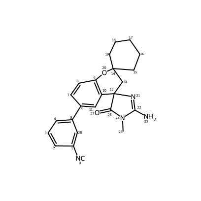 [C-]#[N+]c1cccc(-c2ccc3c(c2)C2(CC4(CCCCC4)O3)N=C(N)N(C)C2=O)c1